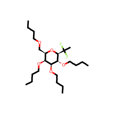 CCCCOC[C@H]1O[C@@H](C(C)(F)F)[C@H](OCCCC)[C@@H](OCCCC)[C@H]1OCCCC